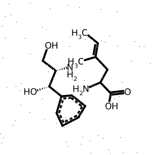 C/C=C(\C)CC(N)C(=O)O.N[C@@H](CO)[C@@H](O)c1ccccc1